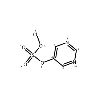 O=S(=O)(OCl)Oc1cncnc1